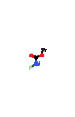 CC(C)OC(=O)NF